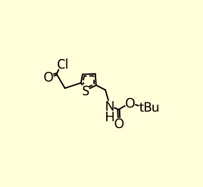 CC(C)(C)OC(=O)NCc1ccc(CC(=O)Cl)s1